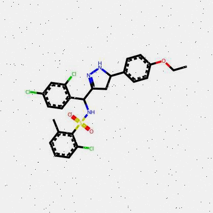 CCOc1ccc(C2CC(C(NS(=O)(=O)c3c(C)cccc3Cl)c3ccc(Cl)cc3Cl)=NN2)cc1